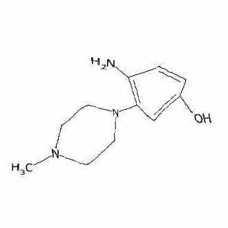 CN1CCN(c2cc(O)ccc2N)CC1